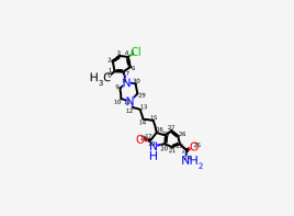 Cc1ccc(Cl)cc1N1CCN(CCCCC2C(=O)Nc3cc(C(N)=O)ccc32)CC1